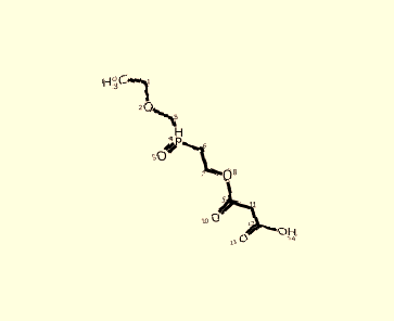 CCOC[PH](=O)CCOC(=O)CC(=O)O